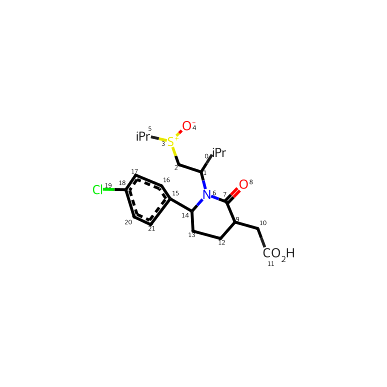 CC(C)C(C[S+]([O-])C(C)C)N1C(=O)C(CC(=O)O)CCC1c1ccc(Cl)cc1